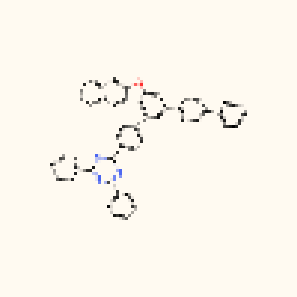 c1ccc(-c2ccc(-c3cc(-c4ccc(-c5nc(-c6ccccc6)nc(-c6ccccc6)n5)cc4)c4c(c3)oc3cc5ccccc5cc34)cc2)cc1